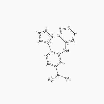 CN(C)c1ncc2c(n1)Nc1ccccc1-n1nnnc1-2